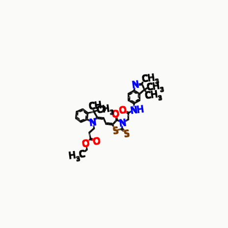 CCOC(=O)CCN1/C(=C\C=C2\SC(=S)N(CC(=O)Nc3ccc4c(c3)C(C)(C)C(C)=N4)C2=O)C(C)(C)c2ccccc21